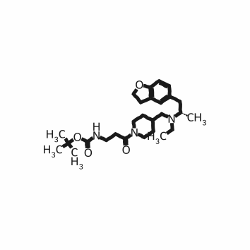 CCN(CC1CCN(C(=O)CCNC(=O)OC(C)(C)C)CC1)[C@@H](C)Cc1ccc2c(c1)CCO2